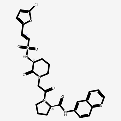 O=C(Nc1ccc2ncccc2c1)[C@H]1CCCN1C(=O)CN1CCC[C@H](NS(=O)(=O)/C=C/c2ccc(Cl)s2)C1=O